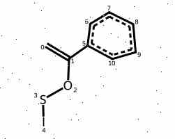 C=C(OSI)c1ccccc1